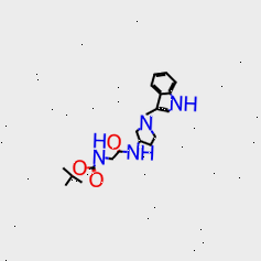 CC(C)(C)OC(=O)NCC(=O)NC1CCN(Cc2c[nH]c3ccccc23)C1